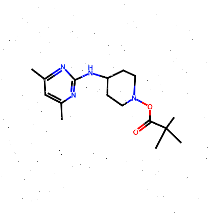 Cc1cc(C)nc(NC2CCN(OC(=O)C(C)(C)C)CC2)n1